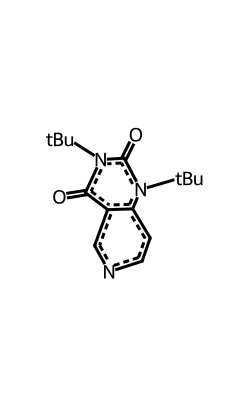 CC(C)(C)n1c(=O)c2cnccc2n(C(C)(C)C)c1=O